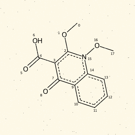 COc1c(C(=O)O)c(=O)c2ccccc2n1OC